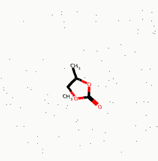 CC1COC(=O)O1.[CH3]